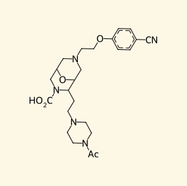 CC(=O)N1CCN(CCC2C3CN(CCOc4ccc(C#N)cc4)CC(CN2C(=O)O)O3)CC1